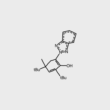 CC(C)(C)C1=CC(C)(C(C)(C)C)CC(n2nc3ccccc3n2)=C1O